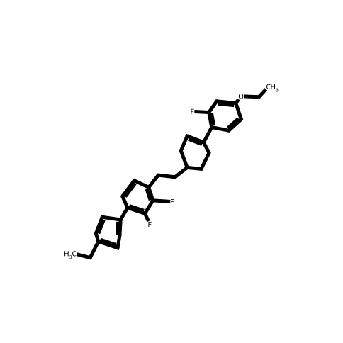 CCOc1ccc(C2=CCC(CCc3ccc(-c4ccc(CC)cc4)c(F)c3F)CC2)c(F)c1